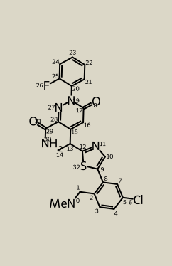 CNCc1ccc(Cl)cc1-c1cnc(C(C)c2cc(=O)n(-c3ccccc3F)nc2C(N)=O)s1